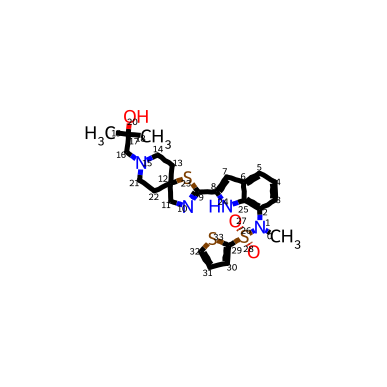 CN(c1cccc2cc(C3=NCC4(CCN(CC(C)(C)O)CC4)S3)[nH]c12)S(=O)(=O)c1cccs1